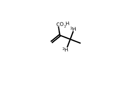 [2H]C([2H])(C)C(=C)C(=O)O